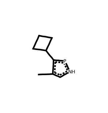 Cc1c[nH]pc1C1CCC1